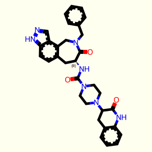 O=C1Nc2ccccc2CC1N1CCN(C(=O)N[C@@H]2Cc3ccc4[nH]ncc4c3CN(Cc3ccccc3)C2=O)CC1